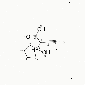 CC#CC(C(=O)O)[PH]1(O)CCCC1